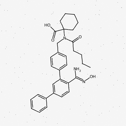 CCCCC(=O)N(Cc1ccc(-c2cc(-c3ccccc3)ccc2C(N)=NO)cc1)C1(C(=O)O)CCCCC1